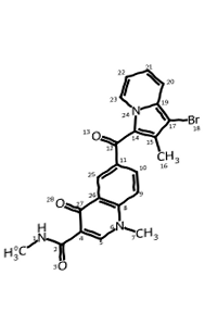 CNC(=O)c1cn(C)c2ccc(C(=O)c3c(C)c(Br)c4ccccn34)cc2c1=O